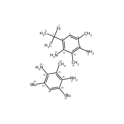 CCC(C)(C)c1cc(C)c(N)c(C)c1N.Cc1c(N)c(C(C)(C)C)cc(C(C)(C)C)c1N